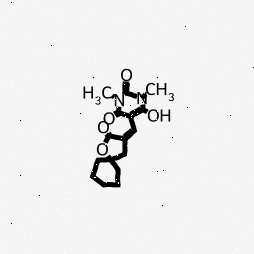 Cn1c(O)c(/C=C2/CC3(CCCCC3)OC2=O)c(=O)n(C)c1=O